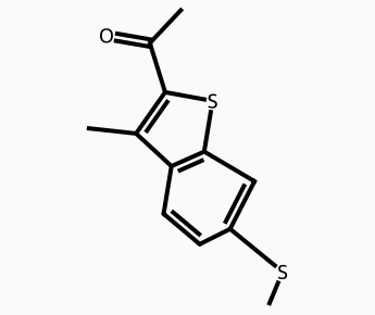 CSc1ccc2c(C)c(C(C)=O)sc2c1